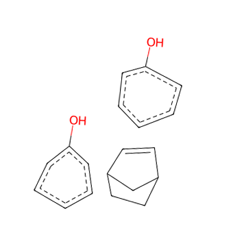 C1=CC2CCC1C2.Oc1ccccc1.Oc1ccccc1